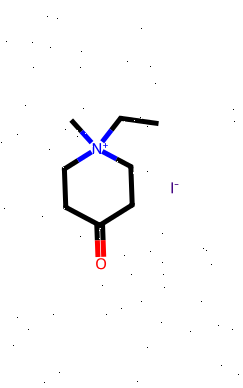 CC[N+]1(C)CCC(=O)CC1.[I-]